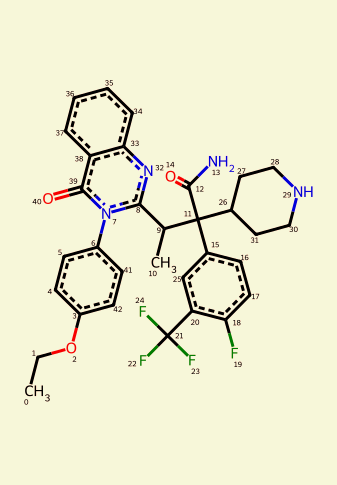 CCOc1ccc(-n2c(C(C)C(C(N)=O)(c3ccc(F)c(C(F)(F)F)c3)C3CCNCC3)nc3ccccc3c2=O)cc1